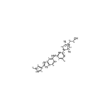 Cc1cc(Nc2cc3nc(-c4cnn(C)c4)sc3cn2)nc(N2C[C@@H]3C[C@H]2CN3CCO)n1